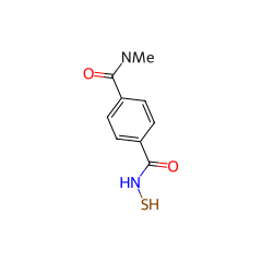 CNC(=O)c1ccc(C(=O)NS)cc1